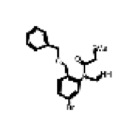 CSCC(=O)N(C=N)c1cc(Br)ccc1COCc1ccccc1